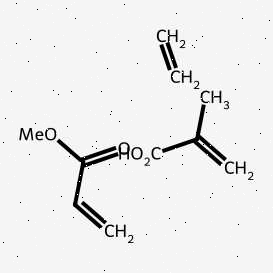 C=C.C=C(C)C(=O)O.C=CC(=O)OC